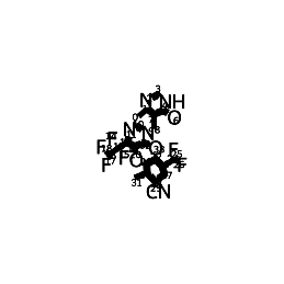 Cc1nc[nH]c(=O)c1Cn1cnc(C(F)(F)C(F)F)c(Oc2cc(C(F)F)cc(C#N)c2C)c1=O